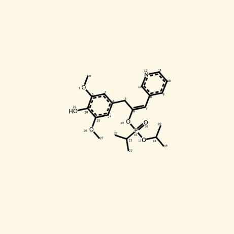 COc1cc(C/C(=C\c2cccnc2)OP(=O)(OC(C)C)C(C)C)cc(OC)c1O